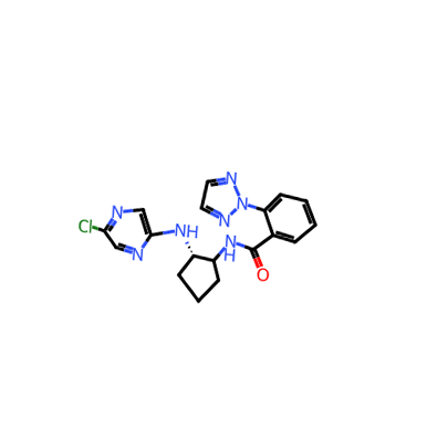 O=C(NC1CCC[C@@H]1Nc1cnc(Cl)cn1)c1ccccc1-n1nccn1